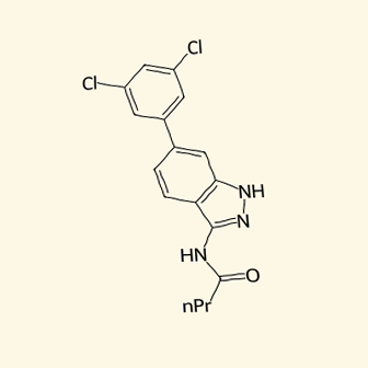 CCCC(=O)Nc1n[nH]c2cc(-c3cc(Cl)cc(Cl)c3)ccc12